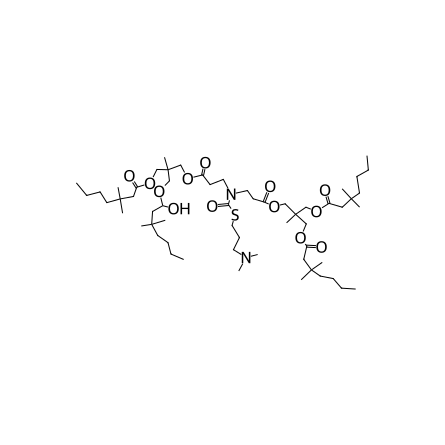 CCCCC(C)(C)CC(=O)OCC(C)(COC(=O)CCN(CCC(=O)OCC(C)(COC(=O)CC(C)(C)CCCC)COC(O)CC(C)(C)CCCC)C(=O)SCCCN(C)C)COC(=O)CC(C)(C)CCCC